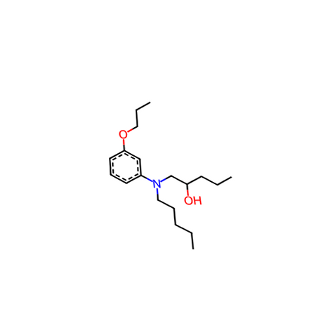 CCCCCN(CC(O)CCC)c1cccc(OCCC)c1